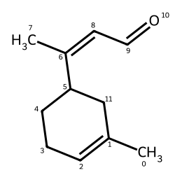 CC1=CCCC(/C(C)=C\C=O)C1